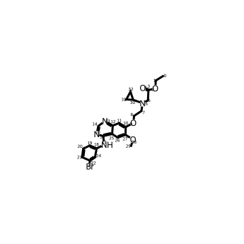 CCOC(=O)CN(CCOc1cc2ncnc(Nc3cccc(Br)c3)c2cc1OC)C1CC1